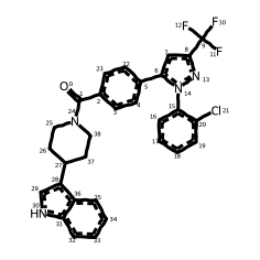 O=C(c1ccc(-c2cc(C(F)(F)F)nn2-c2ccccc2Cl)cc1)N1CCC(c2c[nH]c3ccccc23)CC1